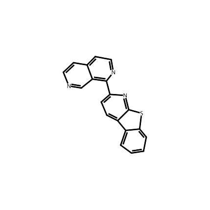 c1ccc2c(c1)sc1nc(-c3nccc4ccncc34)ccc12